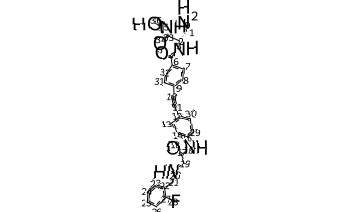 NC[C@H](NC(=O)c1ccc(C#Cc2ccc(NC(=O)CNCc3ccccc3F)cc2)cc1)C(=O)NO